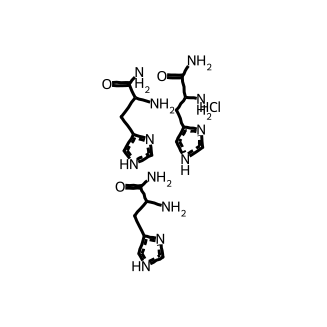 Cl.NC(=O)C(N)Cc1c[nH]cn1.NC(=O)C(N)Cc1c[nH]cn1.NC(=O)C(N)Cc1c[nH]cn1